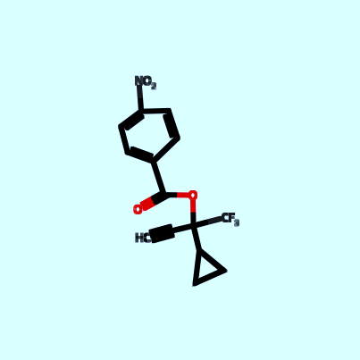 C#CC(OC(=O)c1ccc([N+](=O)[O-])cc1)(C1CC1)C(F)(F)F